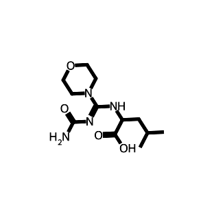 CC(C)CC(N/C(=N/C(N)=O)N1CCOCC1)C(=O)O